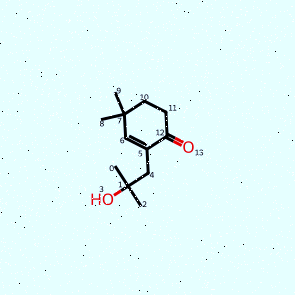 CC(C)(O)CC1=CC(C)(C)CCC1=O